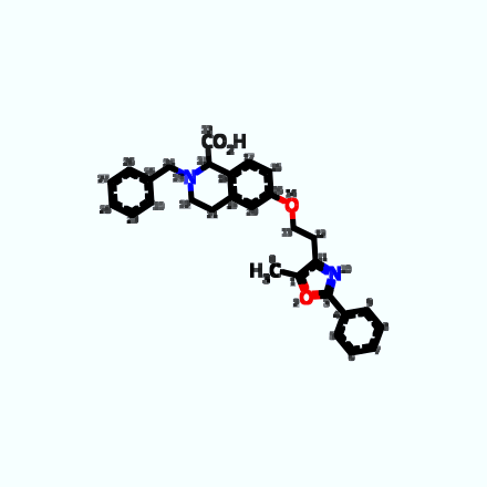 Cc1oc(-c2ccccc2)nc1CCOc1ccc2c(c1)CCN(Cc1ccccc1)C2C(=O)O